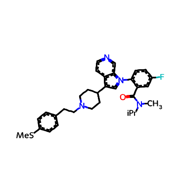 CSc1ccc(CCN2CCC(c3cn(-c4ccc(F)cc4C(=O)N(C)C(C)C)c4cnccc34)CC2)cc1